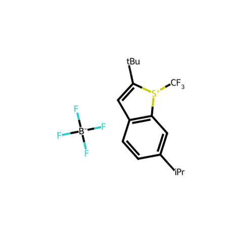 CC(C)c1ccc2cc(C(C)(C)C)[s+](C(F)(F)F)c2c1.F[B-](F)(F)F